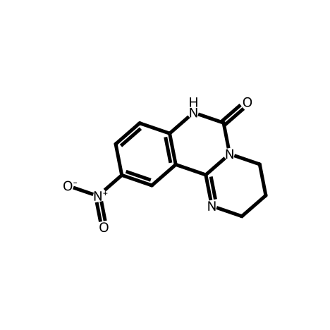 O=C1Nc2ccc([N+](=O)[O-])cc2C2=NCCCN12